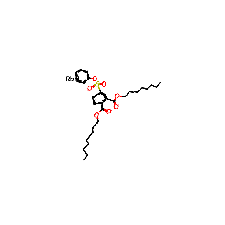 CCCCCCCCOC(=O)c1ccc(S(=O)(=O)Oc2ccccc2)cc1C(=O)OCCCCCCCC.[RbH]